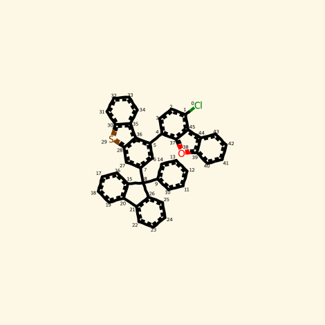 Clc1ccc(-c2cc(C3(c4ccccc4)c4ccccc4-c4ccccc43)cc3sc4ccccc4c23)c2oc3ccccc3c12